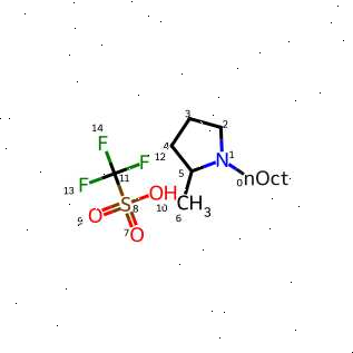 CCCCCCCCN1CCCC1C.O=S(=O)(O)C(F)(F)F